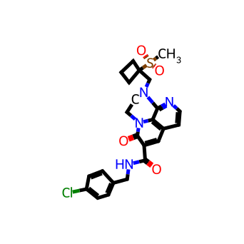 CS(=O)(=O)C1(CN2CCn3c(=O)c(C(=O)NCc4ccc(Cl)cc4)cc4ccnc2c43)CCC1